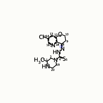 CC1CN(C(=S)N/N=C2/CCOc3cc(Cl)cnc32)CCN1